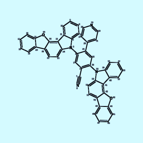 N#Cc1cc(-n2c3ccccc3c3c4oc5ccccc5c4ccc32)c(-c2ccncc2)cc1-n1c2ccccc2c2c3oc4ccccc4c3ccc21